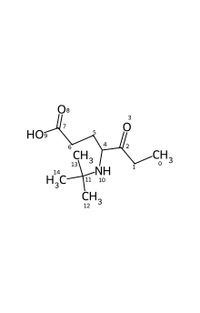 CCC(=O)C(CCC(=O)O)NC(C)(C)C